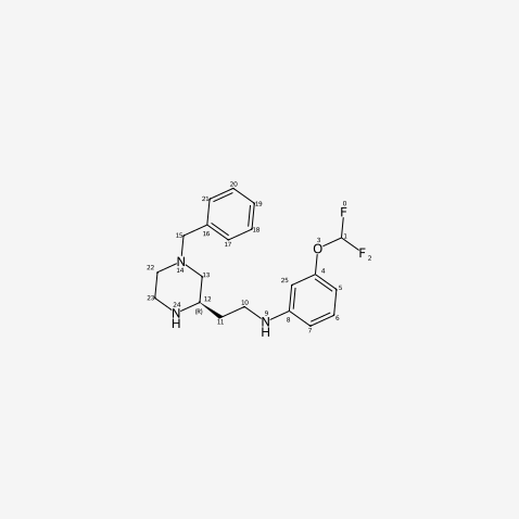 FC(F)Oc1cccc(NCC[C@@H]2CN(Cc3ccccc3)CCN2)c1